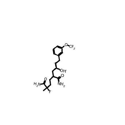 CC(F)(CCC(CC(O)[CH]Cc1cccc(OC(F)(F)F)c1)C(N)=O)C(N)=O